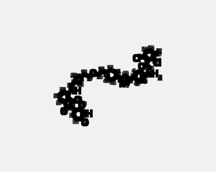 CC(Oc1cc(-c2cnn(C3CCN(CCOCCN4CC(CNc5cccc6c5C(=O)N(C5CCC(=O)NC5=O)C6=O)C4)CC3)c2)cnc1N)c1c(Cl)ccc(F)c1Cl